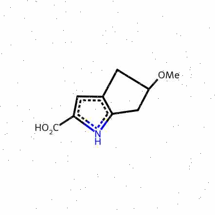 COC1Cc2cc(C(=O)O)[nH]c2C1